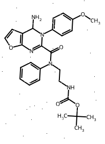 COc1ccc(N2C(C(=O)N(CCNC(=O)OC(C)(C)C)c3ccccc3)=Nc3occc3C2N)cc1